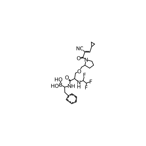 N#CC(=CC1CC1)C(=O)N1CCCC1COCC(NC(F)C(F)F)C(=O)NC(Cc1ccccc1)B(O)O